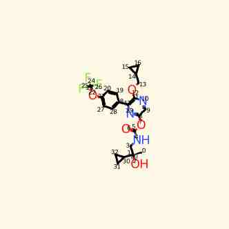 C[C@](O)(CNC(=O)Oc1cnc(OCC2CC2)c(-c2ccc(OC(F)(F)F)cc2)n1)C1CC1